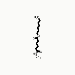 CCCCCCCNC(=O)CCCCC(=O)NC